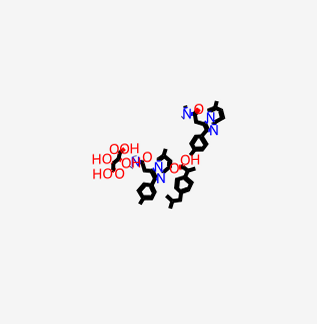 CC(C)Cc1ccc(C(C)C(=O)O)cc1.Cc1ccc(-c2nc3ccc(C)cn3c2CC(=O)N(C)C)cc1.Cc1ccc(-c2nc3ccc(C)cn3c2CC(=O)N(C)C)cc1.O=C(O)C(O)C(O)C(=O)O